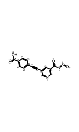 O=S=NC(=O)c1cncc(C#Cc2ccc(C(=O)O)cc2)c1